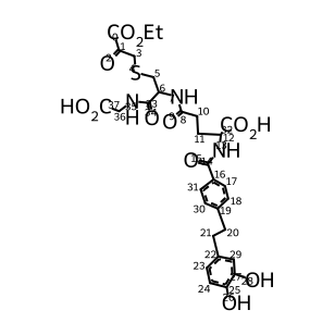 CCOC(=O)C(=O)CSCC(NC(=O)CCC(NC(=O)c1ccc(CCc2ccc(O)c(O)c2)cc1)C(=O)O)C(=O)NCC(=O)O